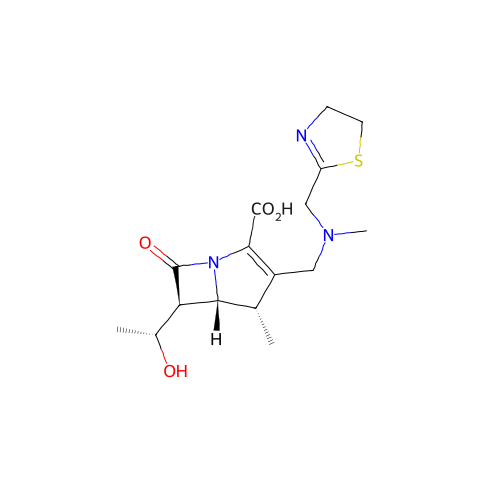 C[C@@H](O)[C@H]1C(=O)N2C(C(=O)O)=C(CN(C)CC3=NCCS3)[C@H](C)[C@H]12